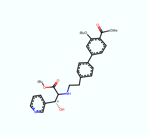 COC(=O)c1ccc(-c2ccc(CCNC(C(=O)OC(C)(C)C)[C@H](O)c3cccnc3)cc2)cc1OCC(C)C